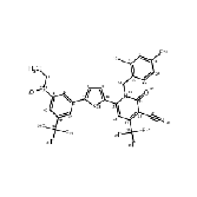 CC[S+]([O-])c1cc(-c2ccc(-c3cc(C(F)(F)F)c(C#N)c(=O)n3Cc3ccc(F)cc3F)s2)cc(C(F)(F)F)c1